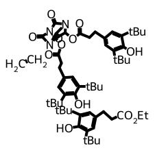 C=C.CC(C)(C)c1cc(CCC(=O)OC2N3C(=O)N4C(=O)N(C3=O)C24OC(=O)CCc2cc(C(C)(C)C)c(O)c(C(C)(C)C)c2)cc(C(C)(C)C)c1O.[CH2]COC(=O)CCc1cc(C(C)(C)C)c(O)c(C(C)(C)C)c1